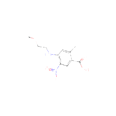 COCCNc1cc(C)c(C(=O)O)cc1[N+](=O)[O-]